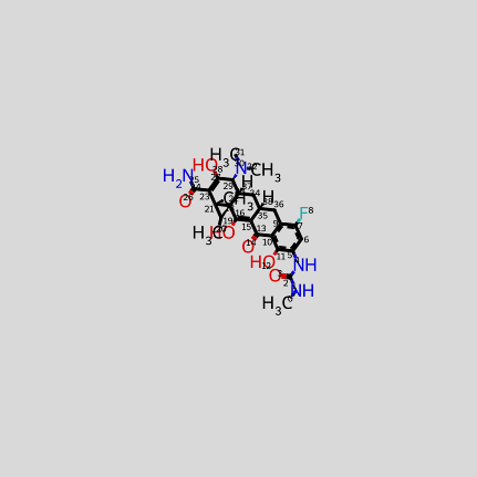 CNC(=O)Nc1cc(F)c2c(c1O)C(=O)C1=C(O)[C@]34C(C)[C@]3(C)C(C(N)=O)=C(O)[C@@H](N(C)C)[C@@H]4C[C@@H]1C2